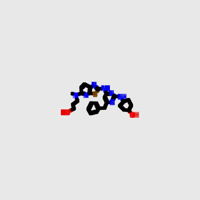 CN(CCCO)c1ccc2nc(Nc3cc(Cc4ccccc4)nc(NC4CCC(O)CC4)n3)sc2n1